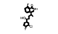 CC([CH]CC(O)c1ccc(F)c(Cl)c1)c1c[nH]c(=O)c2c(F)cccc12